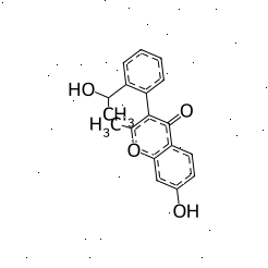 Cc1oc2cc(O)ccc2c(=O)c1-c1ccccc1C(C)O